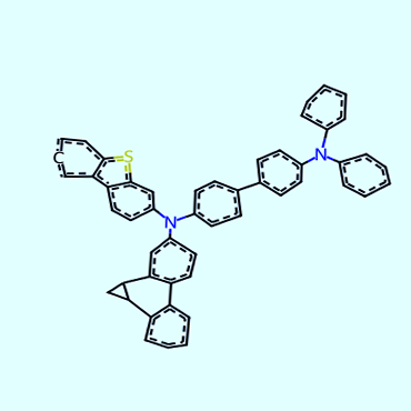 c1ccc(N(c2ccccc2)c2ccc(-c3ccc(N(c4ccc5c(c4)C4CC4c4ccccc4-5)c4ccc5c(c4)sc4ccccc45)cc3)cc2)cc1